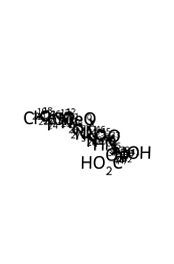 COCCn1c(CN2CCC(c3cccc(OCc4ccc(Cl)cc4F)n3)CC2)nc2cc(C(=O)NCC(=O)N3C[C@H](O)C[C@H]3C(=O)O)ccc21